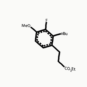 CCCCc1c(CCC(=O)OCC)ccc(OC)c1F